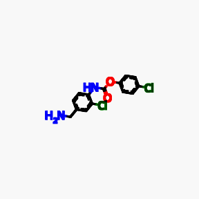 NCc1ccc(NC(=O)Oc2ccc(Cl)cc2)c(Cl)c1